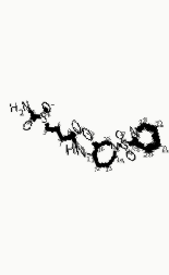 NC(=O)[S+]([O-])CC[CH]C(=O)N[C@H]1CCCN(S(=O)(=O)c2ccccn2)CC1=O